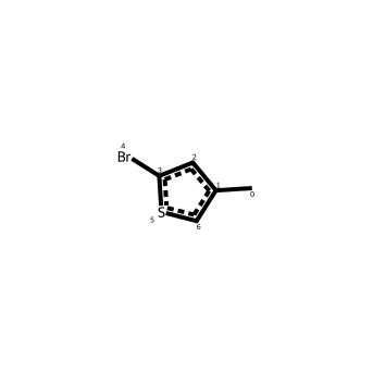 Cc1[c]c(Br)sc1